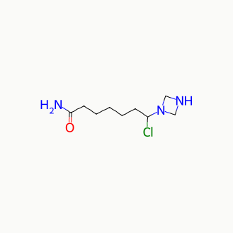 NC(=O)CCCCCC(Cl)N1CNC1